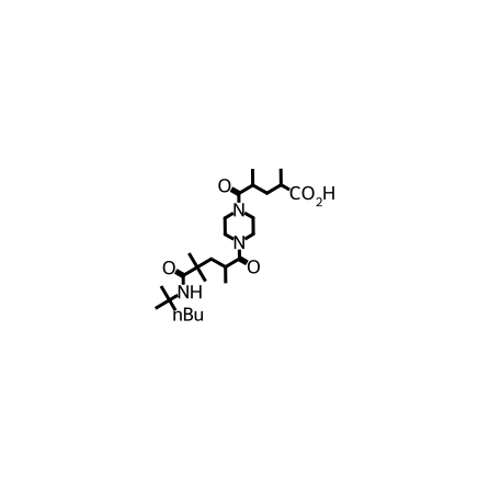 CCCCC(C)(C)NC(=O)C(C)(C)CC(C)C(=O)N1CCN(C(=O)C(C)CC(C)C(=O)O)CC1